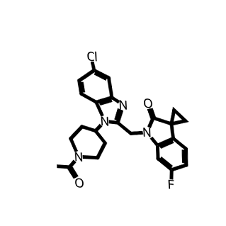 CC(=O)N1CCC(n2c(CN3C(=O)C4(CC4)c4ccc(F)cc43)nc3cc(Cl)ccc32)CC1